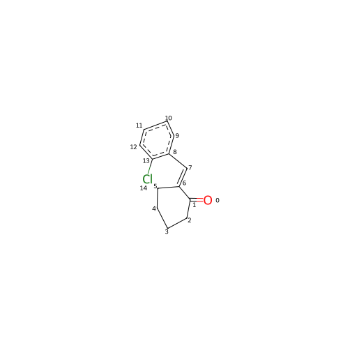 O=C1CCCC/C1=C\c1ccccc1Cl